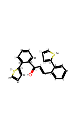 O=C(C=Cc1ccccc1-c1cccs1)c1ccccc1-c1cccs1